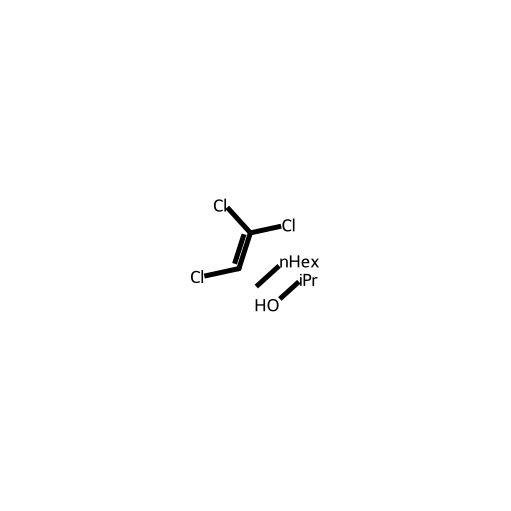 CC(C)O.CCCCCCC.ClC=C(Cl)Cl